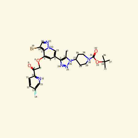 Cc1c(-c2cc(OCC(=O)c3ccc(F)cn3)c3c(Br)cnn3c2)nnn1C1CCN(C(=O)OC(C)(C)C)CC1